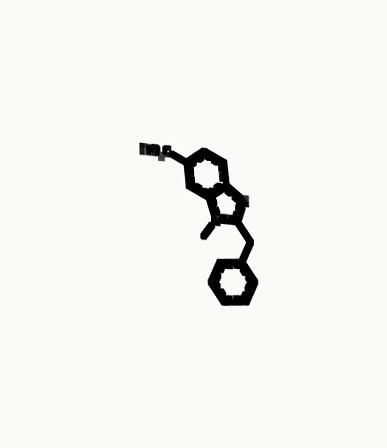 CCOC(=O)c1ccc2nc(Cc3ccccc3)n(C)c2c1